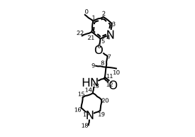 Cc1ccnc(OCC(C)(C)C(=O)NC2CCN(C)CC2)c1C